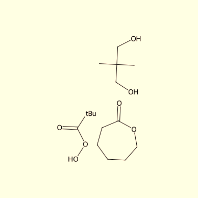 CC(C)(C)C(=O)OO.CC(C)(CO)CO.O=C1CCCCCO1